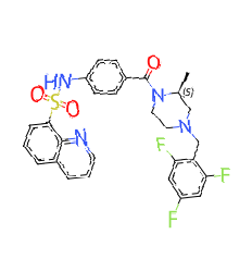 C[C@H]1CN(Cc2c(F)cc(F)cc2F)CCN1C(=O)c1ccc(NS(=O)(=O)c2cccc3cccnc23)cc1